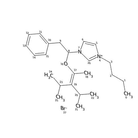 CCCC[n+]1ccn(C(Cc2ccccc2)OC(C)=C(C(C)C)C(C)C)c1.[Br-]